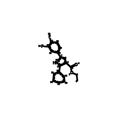 CCOC(=O)c1cc(-c2ccc(F)c(F)c2)[nH]c1-c1ccccc1